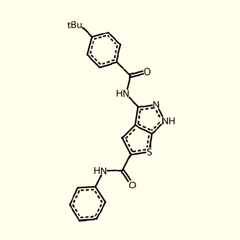 CC(C)(C)c1ccc(C(=O)Nc2n[nH]c3sc(C(=O)Nc4ccccc4)cc23)cc1